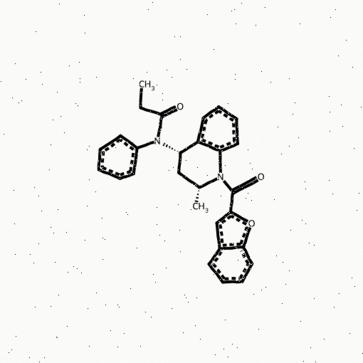 CCC(=O)N(c1ccccc1)[C@H]1C[C@@H](C)N(C(=O)c2cc3ccccc3o2)c2ccccc21